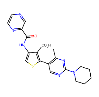 Cc1nc(N2CCCCC2)ncc1-c1scc(NC(=O)c2cnccn2)c1C(=O)O